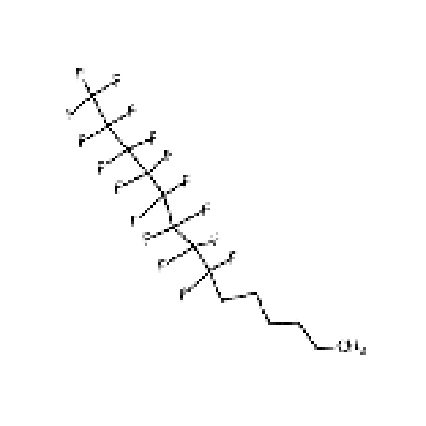 CCCCCCC(F)(F)C(F)(F)C(F)(F)C(F)(F)C(F)(F)C(F)(F)C(F)(F)C(F)(F)F